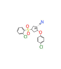 N#C[C@H]1CC(S(=O)(=O)c2ccccc2Cl)CC1Oc1ccc(Cl)cc1